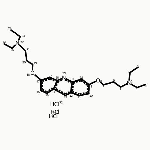 CCN(CC)CCCOc1ccc2cc3ccc(OCCCN(CC)CC)cc3nc2c1.Cl.Cl.Cl